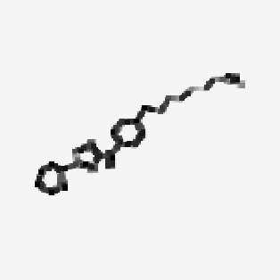 CCCCCCCCc1ccc(Nc2nc(-c3ccccn3)cs2)cc1